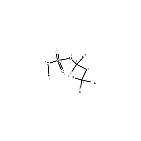 O=S(=O)(OF)OC(F)(F)CC(F)(F)F